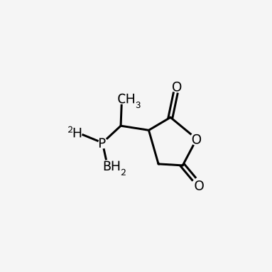 [2H]P(B)C(C)C1CC(=O)OC1=O